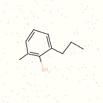 Bc1c(C)cccc1CCC